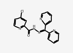 O=C(NN=C(c1ccccn1)c1ccccn1)c1cc(Cl)ccn1